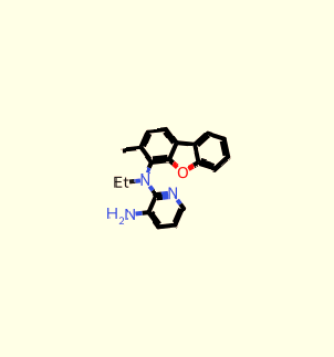 CCN(c1ncccc1N)c1c(C)ccc2c1oc1ccccc12